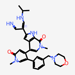 CC(C)N/C=C(\C=N)c1cc2c(-c3cc(=O)n(C)cc3-c3cccc(CN4CCOCC4)c3)cn(C)c(=O)c2[nH]1